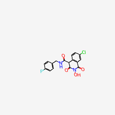 O=C(NCc1ccc(F)cc1)C1C(=O)N(O)C(=O)c2cc(Cl)ccc21